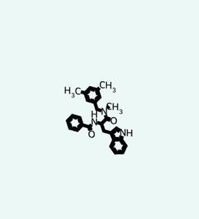 Cc1cc(C)cc(CN(C)C(=O)C(Cc2c[nH]c3ccccc23)NC(=O)c2ccccc2)c1